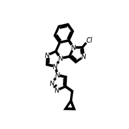 Clc1ncc2n1-c1ccccc1C1N=CN(n3cc(CC4CC4)nn3)N21